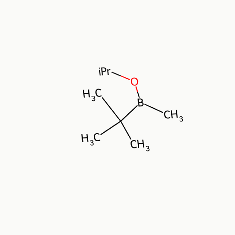 CB(OC(C)C)C(C)(C)C